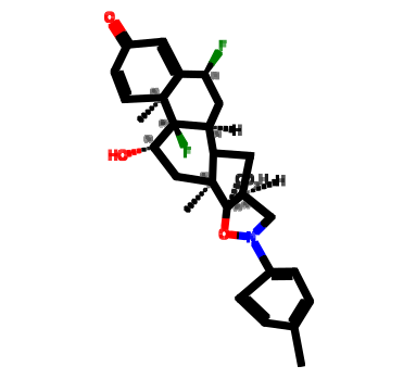 Cc1ccc(N2C[C@@H]3CC4[C@@H]5C[C@H](F)C6=CC(=O)C=C[C@]6(C)[C@@]5(F)[C@@H](O)C[C@]4(C)[C@]3(C(=O)O)O2)cc1